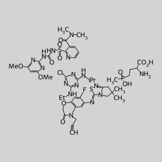 C#CCN1C(=O)COc2cc(F)c(/N=c3\snc4n3CC(C)(C)C4)cc21.CCNc1nc(Cl)nc(NC(C)C)n1.COc1cc(OC)nc(NC(=O)NS(=O)(=O)c2ncccc2C(=O)N(C)C)n1.CP(=O)(O)CCC(N)C(=O)O